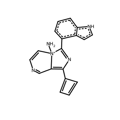 N[N+]12C=CN=CC1=C(C1=CC=C1)N=C2c1cccc2[nH]ccc12